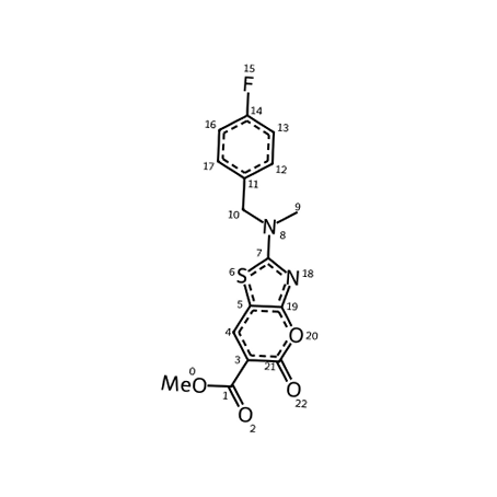 COC(=O)c1cc2sc(N(C)Cc3ccc(F)cc3)nc2oc1=O